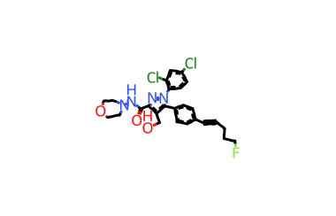 O=C(NN1CCOCC1)c1nn(-c2ccc(Cl)cc2Cl)c(-c2ccc(C#CCCCF)cc2)c1CO